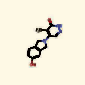 O=c1[nH]ncc(N2Cc3ccc(O)cc3C2)c1C(F)(F)F